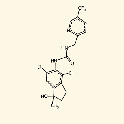 CC1(O)CCc2c1cc(Cl)c(NC(=O)NCc1ccc(C(F)(F)F)cn1)c2Cl